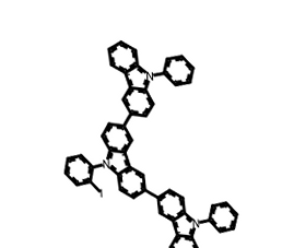 Ic1ccccc1-n1c2ccc(-c3ccc4c(c3)c3ccccc3n4-c3ccccc3)cc2c2cc(-c3ccc4c(c3)c3ccccc3n4-c3ccccc3)ccc21